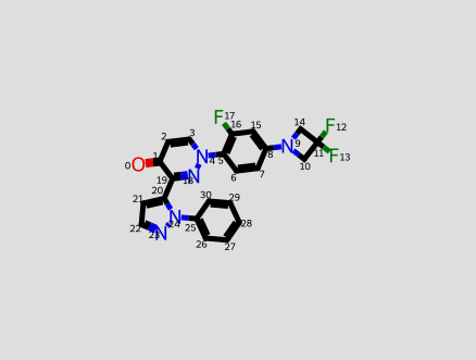 O=c1ccn(-c2ccc(N3CC(F)(F)C3)cc2F)nc1-c1ccnn1-c1ccccc1